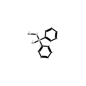 CCC(C)O[Si](CC)(c1ccccc1)c1ccccc1